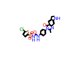 Cc1nc2cc3c(cc2c(=O)n1-c1ccc(NC(=O)NS(=O)(=O)c2ccc(Cl)s2)cc1)CCN3